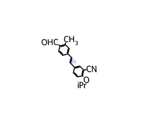 Cc1cc(/C=C/c2ccc(OC(C)C)c(C#N)c2)ccc1C=O